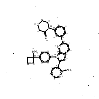 Nc1ncccc1-c1nc2ccc(-c3cccc(N4CCOCC4=O)n3)nc2n1-c1ccc(C2(N)CCC2)cc1